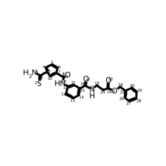 NC(=S)c1cccc(C(=O)Nc2cccc(C(=O)NCCC(=O)OCc3ccccc3)c2)c1